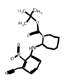 CC(C)(C)OC(=O)N1CCCCC1Nc1cccc(C#N)c1[N+](=O)[O-]